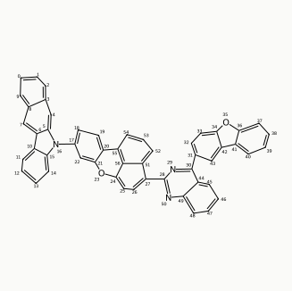 c1ccc2cc3c(cc2c1)c1ccccc1n3-c1ccc2c(c1)Oc1ccc(-c3nc(-c4ccc5oc6ccccc6c5c4)c4ccccc4n3)c3cccc-2c13